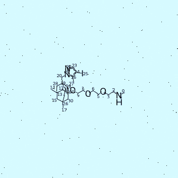 CNCCOCCOCCOC12CC3(C)CC(C)(CC(Cn4ncc(I)c4C)(C3)C1)C2